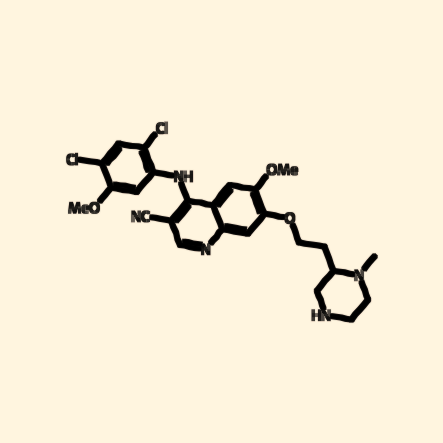 COc1cc(Nc2c(C#N)cnc3cc(OCCC4CNCCN4C)c(OC)cc23)c(Cl)cc1Cl